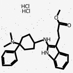 COC(=O)CCc1c(NC2CCC(c3ccccc3)(N(C)C)CC2)[nH]c2ccccc12.Cl.Cl